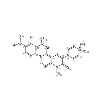 C[C@@H](Nc1ncnc2c1cc(N1C=CS(=N)(=O)C=C1)c(=O)n2C)c1cccc(C(F)F)c1F